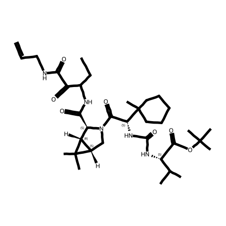 C=CCNC(=O)C(=O)C(CC)NC(=O)[C@@H]1[C@@H]2[C@H](CN1C(=O)[C@@H](NC(=O)N[C@H](C(=O)OC(C)(C)C)C(C)C)C1(C)CCCCC1)C2(C)C